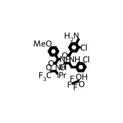 COc1ccc(C(NC(=O)C(Cc2cccc(Cl)c2)NC(=O)c2ccc(CN)c(Cl)c2)C(=O)NC(C(=O)C(F)(F)F)C(C)C)cc1.O=C(O)C(F)(F)F